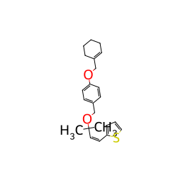 CC(C)(/C=C\c1cccs1)OCc1ccc(OCC2=CCCCC2)cc1